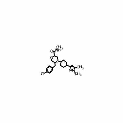 CNC(=O)C1CN(C2CCC(c3cc(C)n(C)n3)CC2)C(Cc2ccc(Cl)cc2)CO1